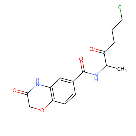 CC(NC(=O)c1ccc2c(c1)NC(=O)CO2)C(=O)CCCCl